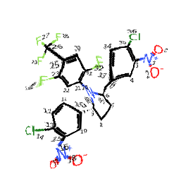 O=[N+]([O-])c1cc([C@H]2CC[C@H](c3ccc(Cl)c([N+](=O)[O-])c3)N2c2cc(F)c(C(F)(F)F)cc2F)ccc1Cl